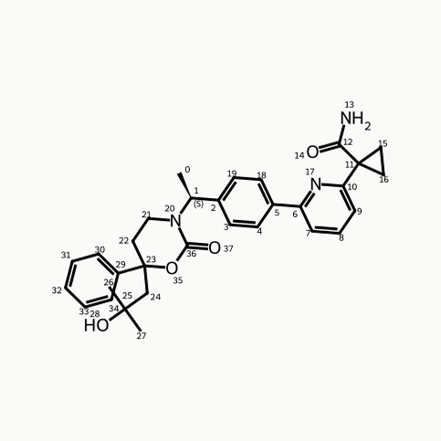 C[C@@H](c1ccc(-c2cccc(C3(C(N)=O)CC3)n2)cc1)N1CCC(CC(C)(C)O)(c2ccccc2)OC1=O